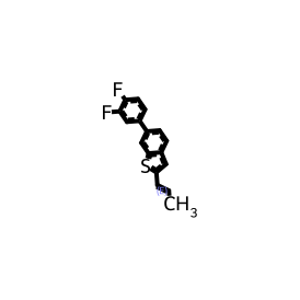 C/C=C/c1cc2ccc(-c3ccc(F)c(F)c3)cc2s1